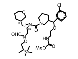 COC(=O)NCCOC(c1cccc(Cl)c1)C1CCCN(C(=O)N[C@@H](C[C@H]2CCCOC2)CN(C=O)OCC(C)[Si](C)(C)C)C1